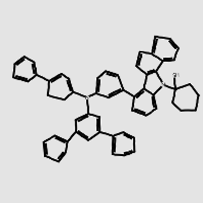 SC1(n2c3cccc(-c4cccc(N(C5=CC=C(c6ccccc6)CC5)c5cc(-c6ccccc6)cc(-c6ccccc6)c5)c4)c3c3ccc4ccccc4c32)CCCCC1